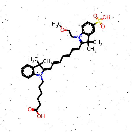 COCC[N+]1=C(/C=C/C=C/C=C/C=C2/N(CCCCCC(=O)O)c3ccccc3C2(C)C)C(C)(C)c2cc(S(=O)(=O)O)ccc21